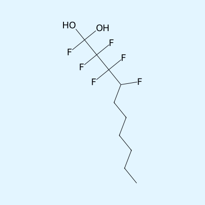 CCCCCCC(F)C(F)(F)C(F)(F)C(O)(O)F